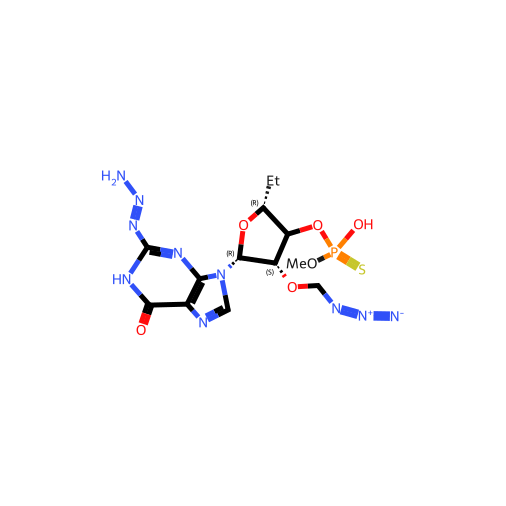 CC[C@H]1O[C@@H](n2cnc3c(=O)[nH]c(N=NN)nc32)[C@@H](OCN=[N+]=[N-])C1OP(O)(=S)OC